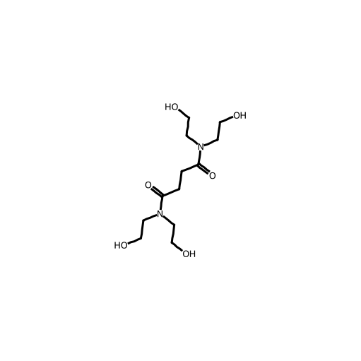 O=C(CCC(=O)N(CCO)CCO)N(CCO)CCO